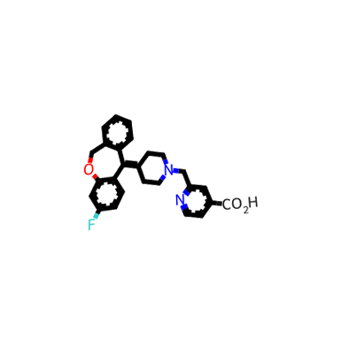 O=C(O)c1ccnc(CN2CCC(=C3c4ccccc4COc4cc(F)ccc43)CC2)c1